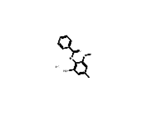 COc1cc(C)cc(N)c1NC(=O)c1ccccc1.Cl